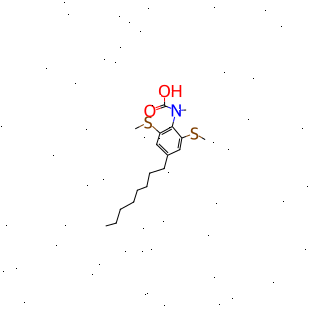 CCCCCCCCc1cc(SC)c(N(C)C(=O)O)c(SC)c1